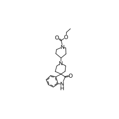 CCOC(=O)N1CCC(N2CCC3(CC2)C(=O)Nc2ccccc23)CC1